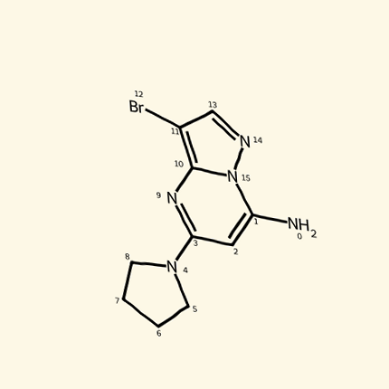 Nc1cc(N2CCCC2)nc2c(Br)cnn12